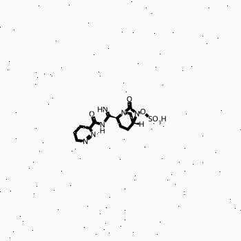 N=C(NC(=O)C1CCCN=N1)[C@@H]1CC[C@@H]2CN1C(=O)N2OS(=O)(=O)O